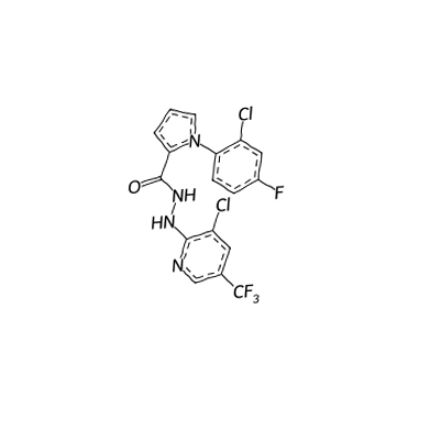 O=C(NNc1ncc(C(F)(F)F)cc1Cl)c1cccn1-c1ccc(F)cc1Cl